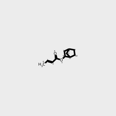 C/C=C/C(=O)OC1CC2CCC1C2